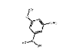 CCCOc1cc(C=O)cc(B(O)O)c1